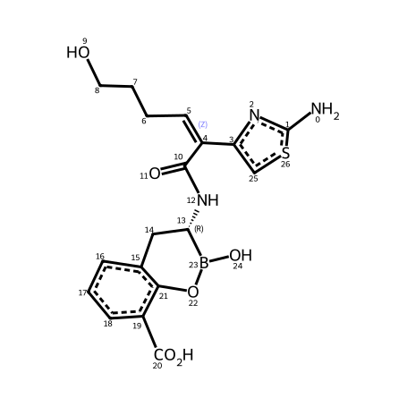 Nc1nc(/C(=C/CCCO)C(=O)N[C@H]2Cc3cccc(C(=O)O)c3OB2O)cs1